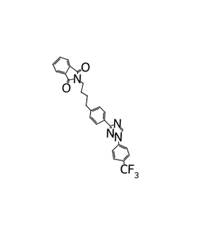 O=C1c2ccccc2C(=O)N1CCCCc1ccc(-c2ncn(-c3ccc(C(F)(F)F)cc3)n2)cc1